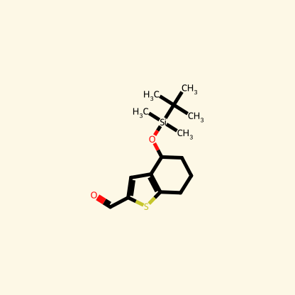 CC(C)(C)[Si](C)(C)OC1CCCc2sc(C=O)cc21